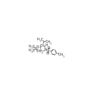 C=C(C)[C@@H]1C[C@]2(O[Si](C)(C)C)CCN(S(=O)(=O)c3ccc(C)cc3)[C@H]1C2